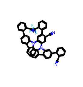 N#Cc1ccccc1-c1ccc2c3ccccc3n(-c3cc(C#N)c(-c4ccccc4C(F)(F)F)cc3-n3c4ccccc4c4ccc(-c5ccccc5C#N)cc43)c2c1